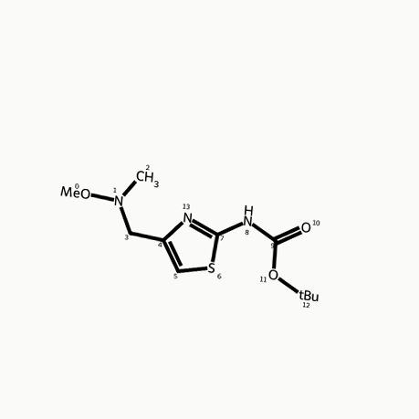 CON(C)Cc1csc(NC(=O)OC(C)(C)C)n1